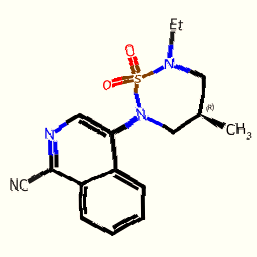 CCN1C[C@@H](C)CN(c2cnc(C#N)c3ccccc23)S1(=O)=O